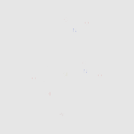 CC1=C(C(=O)O)[SH](c2cc(Br)[c]cc2[N+](=O)[O-])c2ccc([N+](=O)[O-])cc21